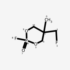 CC1(CF)COP(=O)(F)OC1